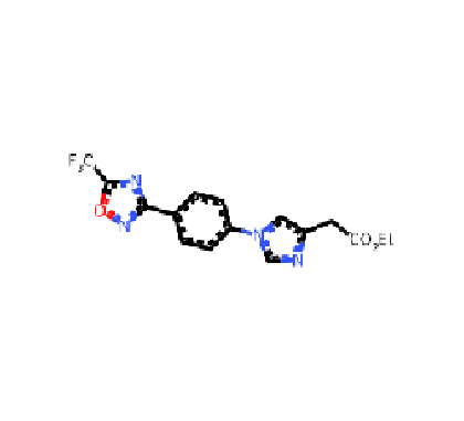 CCOC(=O)Cc1cn(-c2ccc(-c3noc(C(F)(F)F)n3)cc2)cn1